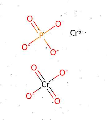 O=P([O-])([O-])[O-].[Cr+5].[O]=[Cr](=[O])([O-])[O-]